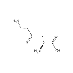 NCCC(=S)C[C@H](N)C(=O)O